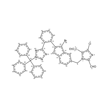 CCOC(=O)c1c(Cl)nc(C=O)n1Cc1ccc2oc(-c3ccccc3-c3nnn(C(c4ccccc4)(c4ccccc4)c4ccccc4)n3)c(Br)c2c1